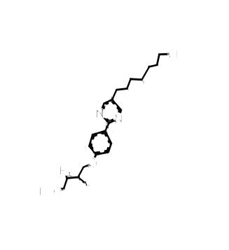 CCCCCCCCc1cnc(-c2ccc(OCC(F)C(F)CC)cc2)nc1